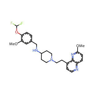 COc1ccc2nccc(CCN3CCC(NCc4ccc(OC(F)F)c(OC)c4)CC3)c2n1